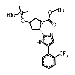 CC(C)(C)OC(=O)N1C[C@H](O[Si](C)(C)C(C)(C)C)C[C@H]1c1ncc(-c2ccccc2C(F)(F)F)[nH]1